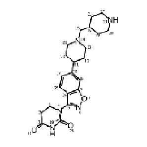 O=C1CCN(c2noc3cc(C4CCN(CC5CCNCC5)CC4)ccc23)C(=O)N1